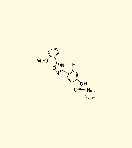 COc1ccccc1-c1nc(-c2ccc(NC(=O)c3ccccn3)cc2F)no1